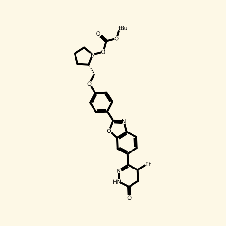 CCC1CC(=O)NN=C1c1ccc2nc(-c3ccc(OC[C@@H]4CCCN4OC(=O)OC(C)(C)C)cc3)oc2c1